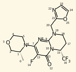 C[C@@H]1COCCN1c1nc2n(c(=O)c1F)[C@@H](C(F)(F)F)CCN2Cc1ncco1